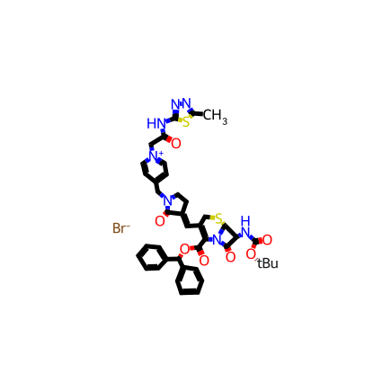 Cc1nnc(NC(=O)C[n+]2ccc(CN3CCC(=CC4=C(C(=O)OC(c5ccccc5)c5ccccc5)N5C(=O)C(NC(=O)OC(C)(C)C)C5SC4)C3=O)cc2)s1.[Br-]